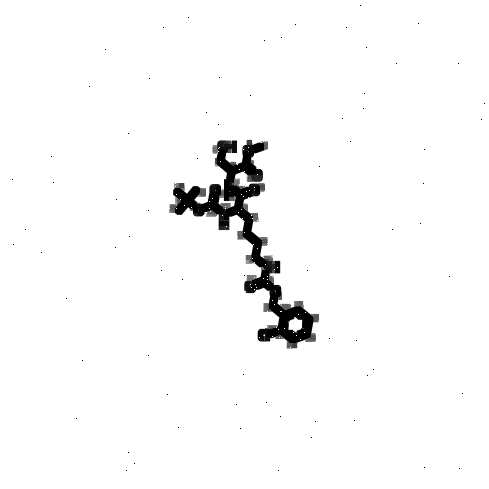 COC(=O)C(CO)NC(=O)C(CCCCNC(=O)OCc1ccccc1Cl)NC(=O)OC(C)(C)C